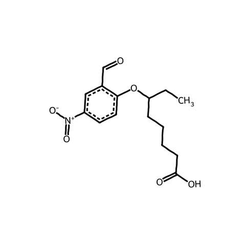 CCC(CCCCC(=O)O)Oc1ccc([N+](=O)[O-])cc1C=O